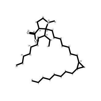 CCCCCCCCC1CC1CCCCCCCC1(C(CC)CCCCCCC)C(C(=O)O)CCN1C